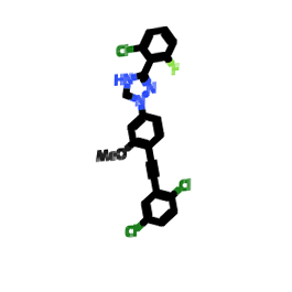 COc1cc(N2CNC(c3c(F)cccc3Cl)=N2)ccc1C#Cc1cc(Cl)ccc1Cl